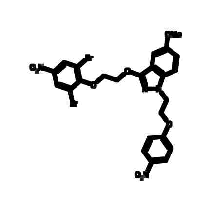 COc1ccc2c(c1)c(OCCOc1c(Br)cc([N+](=O)[O-])cc1Br)nn2CCOc1ccc([N+](=O)[O-])cc1